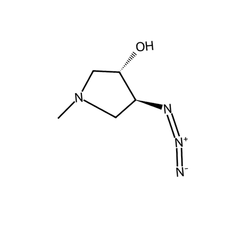 CN1C[C@H](N=[N+]=[N-])[C@@H](O)C1